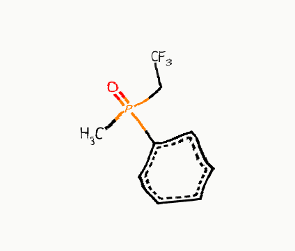 CP(=O)(CC(F)(F)F)c1ccccc1